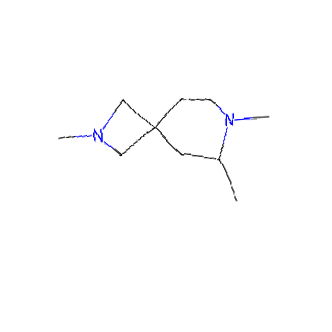 CC1CC2(CCN1C)CN(C)C2